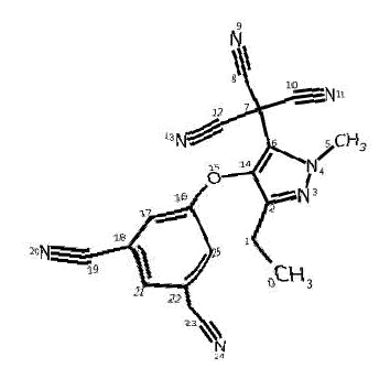 CCc1nn(C)c(C(C#N)(C#N)C#N)c1Oc1cc(C#N)cc(C#N)c1